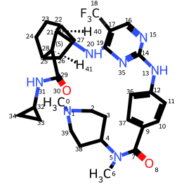 CN1CCC(N(C)C(=O)c2ccc(Nc3ncc(C(F)(F)F)c(N[C@@H]4C5CCC(CC5)[C@@H]4C(=O)NC4CC4)n3)cc2)CC1